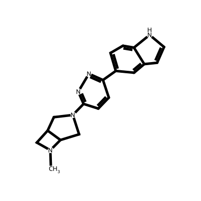 CN1CC2CN(c3ccc(-c4ccc5[nH]ccc5c4)nn3)CC21